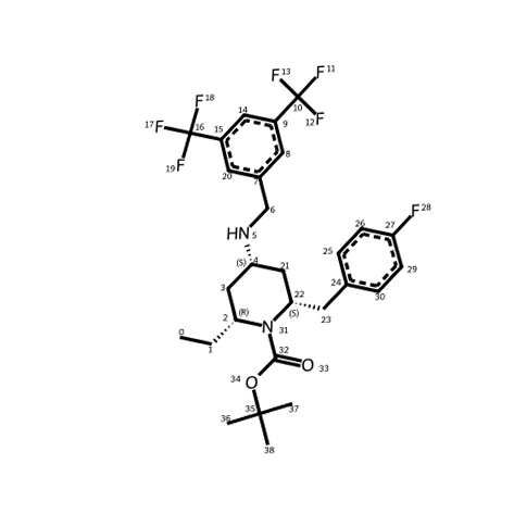 CC[C@@H]1C[C@H](NCc2cc(C(F)(F)F)cc(C(F)(F)F)c2)C[C@H](Cc2ccc(F)cc2)N1C(=O)OC(C)(C)C